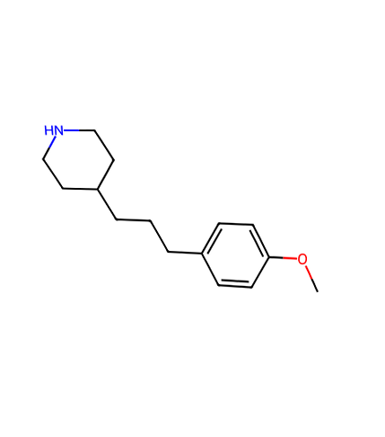 COc1ccc(CCCC2CCNCC2)cc1